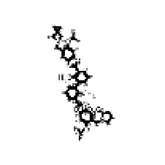 Cc1c(-c2nc3cc(CN4CC5(CC5)C4)c(OC(F)F)cc3o2)cccc1-c1cccc(-c2nc3cc(CN4CCC[C@H]4C(=O)O)c(OC(F)F)cc3o2)c1C